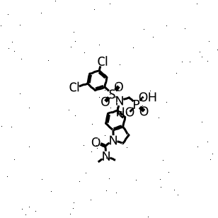 CN(C)C(=O)N1CCc2cc(N(CP(=O)(O)O)S(=O)(=O)c3cc(Cl)cc(Cl)c3)ccc21